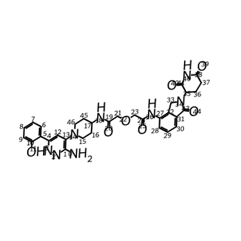 Nc1nnc(-c2ccccc2O)cc1N1CCC(NC(=O)COCC(=O)Nc2cccc3c2CN(C2CCC(=O)NC2=O)C3=O)CC1